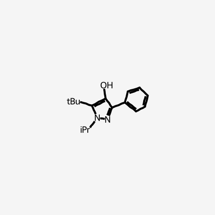 CC(C)n1nc(-c2ccccc2)c(O)c1C(C)(C)C